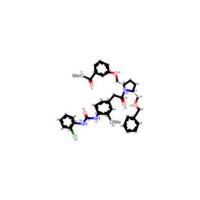 COC(=O)c1cccc(OC[C@@H]2CC[C@H](COCc3ccccc3)N2C(=O)Cc2ccc(NC(=O)Nc3ccccc3Cl)c(OC)c2)c1